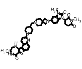 C[C@@H]1CNc2c(sc3ccc4nc(N5CCC(CN6CCC7(CC6)CN(c6ccc8c(c6)n(C)c(=O)n8C6CCC(=O)N(C)C6=O)C7)CC5)ccc4c23)C(=O)N1